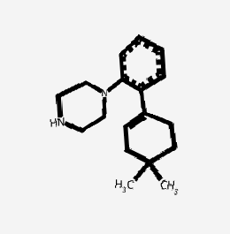 CC1(C)CC=C(c2ccccc2N2CCNCC2)CC1